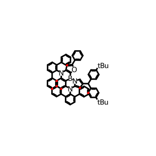 CC(C)(C)c1ccc(C(c2ccc(C(C)(C)C)cc2)c2cc3n(c2)B2c4oc(-c5ccccc5)cc4N(c4c(-c5ccccc5)cccc4-c4ccccc4)c4cccc(c42)N3c2c(-c3ccccc3)cccc2-c2ccccc2)cc1